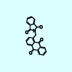 O=C1c2ccccc2C(=O)c2c(CN3C(=O)c4ccccc4C3=O)cccc21